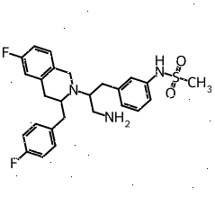 CS(=O)(=O)Nc1cccc(CC(CN)N2Cc3ccc(F)cc3CC2Cc2ccc(F)cc2)c1